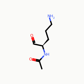 CC(=O)N[C@@H]([C]=O)CCCN